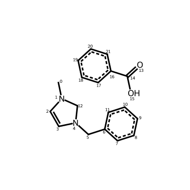 CN1C=CN(Cc2ccccc2)C1.O=C(O)c1ccccc1